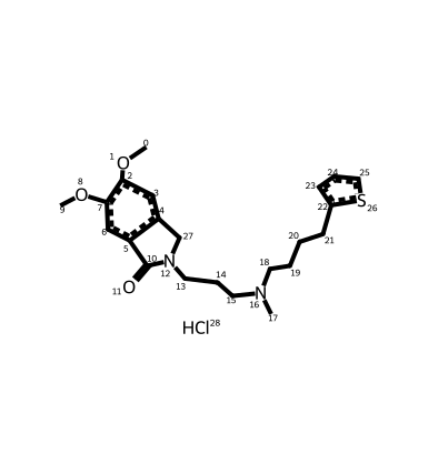 COc1cc2c(cc1OC)C(=O)N(CCCN(C)CCCCc1cccs1)C2.Cl